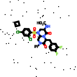 C1CCC1.CC(C)N1CC2N(C(=O)C(NC(=O)O)CN2S(=O)(=O)c2ccc(Cl)cc2Cl)C(Cc2ccc(F)c(F)c2)C1=O